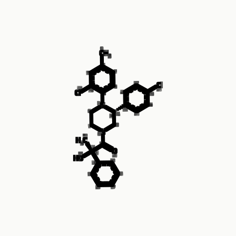 Cc1ccc(N2CCN(C(=O)[C@@](C)(O)c3ccccc3)C[C@H]2c2ccc(Cl)cc2)c(Cl)c1